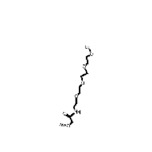 CCOCCOCCOCCOCCNC(=O)COC